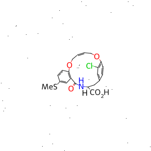 CSc1ccc2c(c1)C(=O)N[C@H](C(=O)O)Cc1ccc(c(Cl)c1)OCC=CCO2